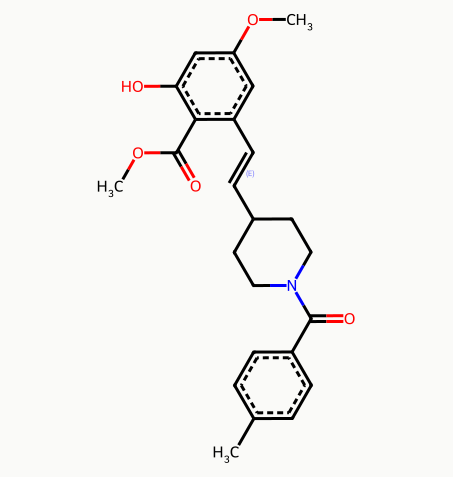 COC(=O)c1c(O)cc(OC)cc1/C=C/C1CCN(C(=O)c2ccc(C)cc2)CC1